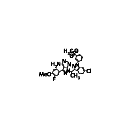 COc1ccc(-c2nn(C(C)c3nn(-c4cccc(S(C)(=O)=O)c4)c4cc(Cl)ccc34)c3ncnc(N)c23)cc1F